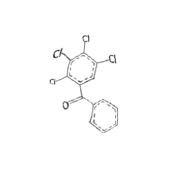 O=C(c1ccccc1)c1cc(Cl)c(Cl)c(Cl)c1Cl